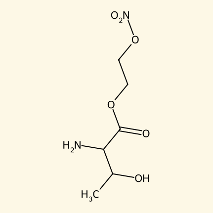 CC(O)C(N)C(=O)OCCO[N+](=O)[O-]